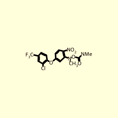 CNC(=O)ON(C)c1cc(Oc2ccc(C(F)(F)F)cc2Cl)ccc1[N+](=O)[O-]